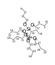 CCCCO[Si](OCCCC)(OCCCC)C(CC)[Si](OCCCC)(OCCCC)OCCCC